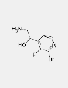 NCC(O)c1ccnc(Br)c1F